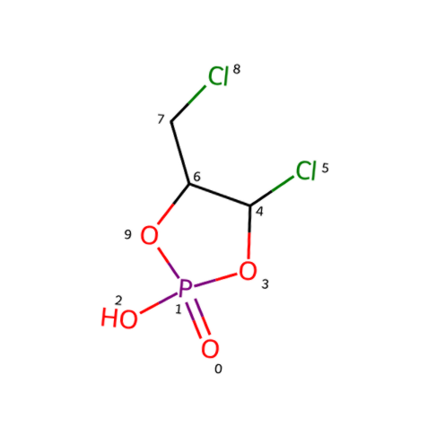 O=P1(O)OC(Cl)C(CCl)O1